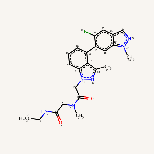 CN(CC(=O)NCC(=O)O)C(=O)Cn1nc(C(F)(F)F)c2c(-c3cc4c(cnn4C)cc3F)cccc21